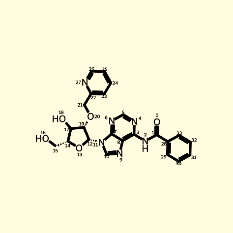 O=C(Nc1ncnc2c1ncn2[C@@H]1O[C@H](CO)C(O)[C@@H]1OCc1ccccn1)c1ccccc1